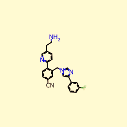 N#Cc1ccc(-c2ccc(CCN)cn2)c(Cn2cnc(-c3cccc(F)c3)c2)c1